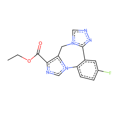 CCOC(=O)c1ncn2c1Cn1cnnc1-c1cc(F)ccc1-2